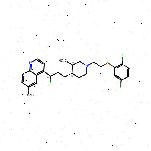 COc1ccc2nccc([C@H](F)CC[C@@H]3CCN(CCSc4cc(F)ccc4F)C[C@@H]3C(=O)O)c2c1